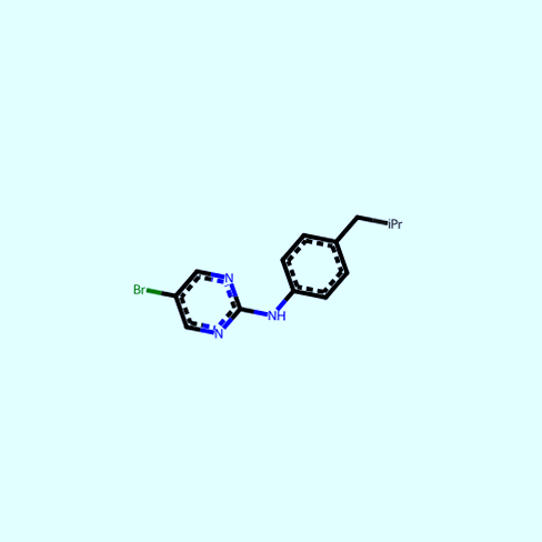 CC(C)Cc1ccc(Nc2ncc(Br)cn2)cc1